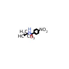 C#CC(C)(C)NC(=O)c1ccc([N+](=O)[O-])cc1